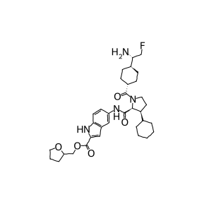 N[C@H](CF)[C@H]1CC[C@H](C(=O)N2CC[C@@H](C3CCCCC3)[C@H]2C(=O)Nc2ccc3[nH]c(C(=O)OCC4CCCO4)cc3c2)CC1